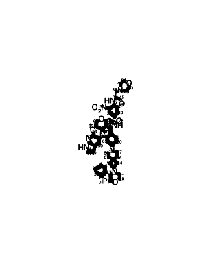 CC(C)c1ccccc1[C@@H]1COCCN1C1CC2(CCN(c3ccc(C(=O)NS(=O)(=O)c4cc5c(c([N+](=O)[O-])c4)N[C@@H](CN4CCOCC4)CO5)c(N4c5cc6cc[nH]c6nc5O[C@H]5COCC[C@@H]54)c3)CC2)C1